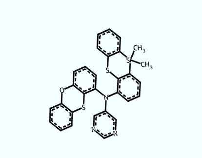 C[Si]1(C)c2ccccc2Sc2c(N(c3cncnc3)c3cccc4c3Sc3ccccc3O4)cccc21